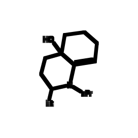 CCCN1C2=CCCCC2(O)CCC1CC